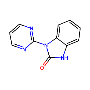 O=c1[nH]c2ccccc2n1-c1ncccn1